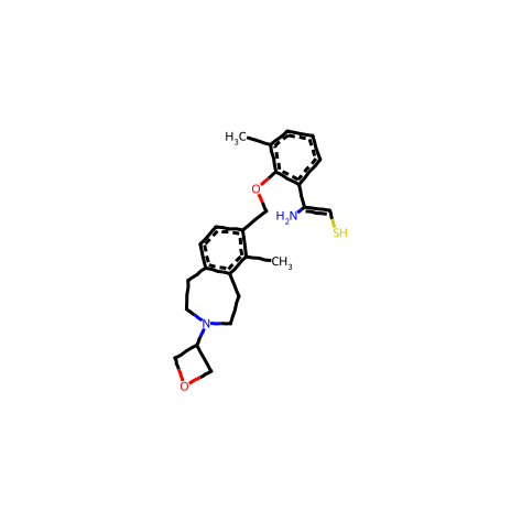 Cc1cccc(/C(N)=C/S)c1OCc1ccc2c(c1C)CCN(C1COC1)CC2